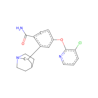 NC(=O)c1ccc(Oc2ncccc2Cl)cc1C1CC2CCN(CC2)C1